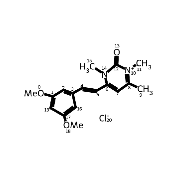 COc1cc(/C=C/c2cc(C)[n+](C)c(=O)n2C)cc(OC)c1.[Cl-]